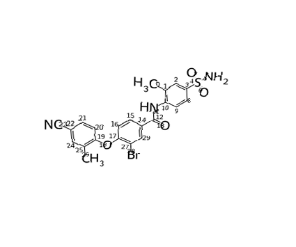 Cc1cc(S(N)(=O)=O)ccc1NC(=O)c1ccc(Oc2ccc(C#N)cc2C)c(Br)c1